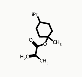 C=C(C)C(=O)OC1(C)CCC(C(C)C)CC1